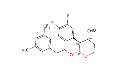 O=C[C@@H]1CCO[C@H](OCCc2cc(C(F)(F)F)cc(C(F)(F)F)c2)[C@H]1c1ccc(F)c(F)c1